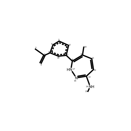 C=C(C)c1cccc(C2=C(C)C=CC(NC)=NN2)c1